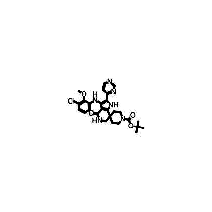 COc1c(Cl)cccc1Nc1c(-c2ccncn2)[nH]c2c1C(=O)NCC21CCN(C(=O)OC(C)(C)C)CC1